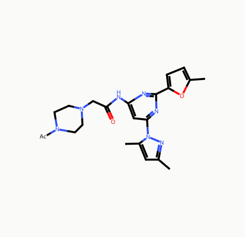 CC(=O)N1CCN(CC(=O)Nc2cc(-n3nc(C)cc3C)nc(-c3ccc(C)o3)n2)CC1